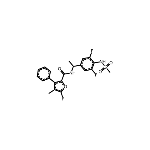 Cc1c(F)oc(C(=O)NC(C)c2cc(F)c(NS(C)(=O)=O)c(F)c2)c1-c1ccccc1